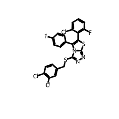 Fc1ccc(-c2c(-c3c(F)cccc3Cl)sc3nnc(SCc4ccc(Cl)c(Cl)c4)n23)cc1